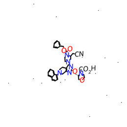 N#CCC1CN(c2nc(OC[C@H]3COCCN3C(=O)O)nc3c2CCN(c2cccc4ccccc24)C3)CCN1C(=O)OCc1ccccc1